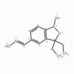 CCC1(CC)OB(O)c2ccc(C=NO)cc21